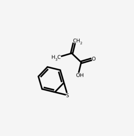 C=C(C)C(=O)O.c1ccc2c(c1)S2